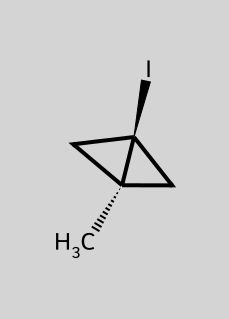 C[C@]12C[C@]1(I)C2